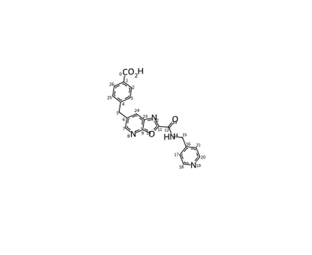 O=C(O)c1ccc(Cc2cnc3oc(C(=O)NCc4ccncc4)nc3c2)cc1